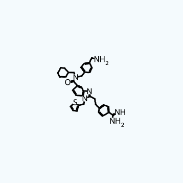 N=C(N)c1ccc(CCc2nc3cc(C(=O)N(Cc4ccc(CN)cc4)CC4CCCCC4)ccc3n2Cc2cccs2)cc1